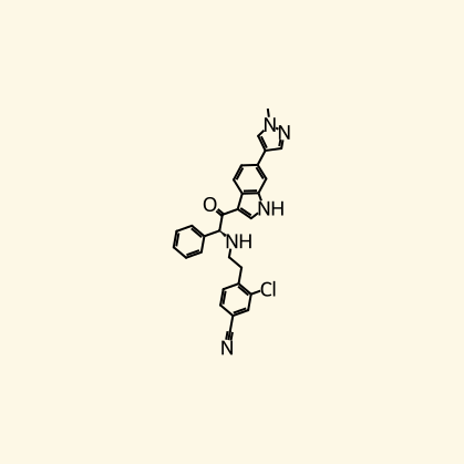 Cn1cc(-c2ccc3c(C(=O)[C@@H](NCCc4ccc(C#N)cc4Cl)c4ccccc4)c[nH]c3c2)cn1